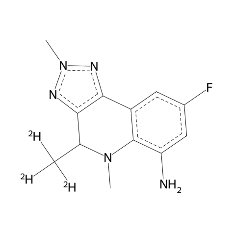 [2H]C([2H])([2H])C1c2nn(C)nc2-c2cc(F)cc(N)c2N1C